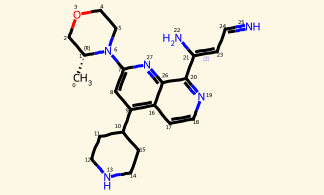 C[C@@H]1COCCN1c1cc(C2CCNCC2)c2ccnc(/C(N)=C/C=N)c2n1